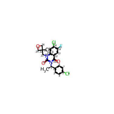 C[C@H](c1ccc(Cl)cc1)n1c(=O)c2cc(F)c(Cl)cc2n(CC2(C)COC2)c1=O